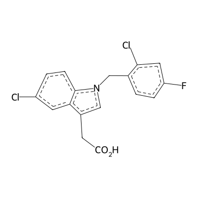 O=C(O)Cc1cn(Cc2ccc(F)cc2Cl)c2ccc(Cl)cc12